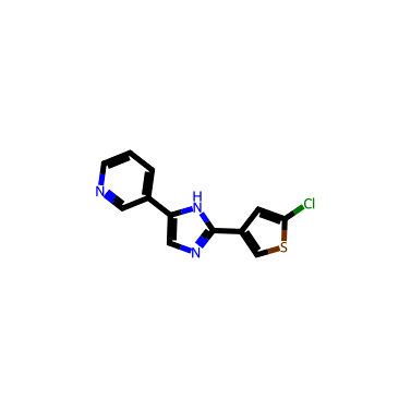 Clc1cc(-c2ncc(-c3cccnc3)[nH]2)cs1